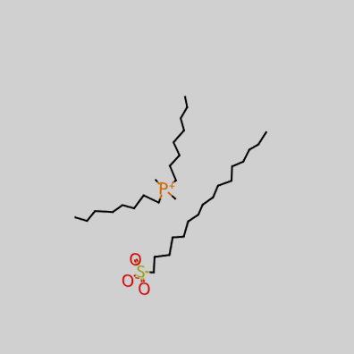 CCCCCCCCCCCCCCCCS(=O)(=O)[O-].CCCCCCCC[P+](C)(C)CCCCCCCC